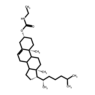 CCNC(=O)O[C@@H]1CC[C@]2(C)C(=CCC3C2CC[C@]2(C)C3CC[C@H]2[C@@H](C)CCCC(C)C)C1